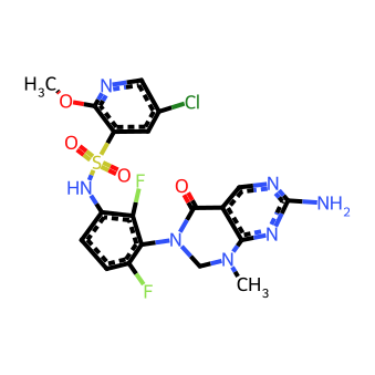 COc1ncc(Cl)cc1S(=O)(=O)Nc1ccc(F)c(N2CN(C)c3nc(N)ncc3C2=O)c1F